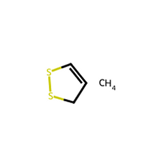 C.C1=CSSC1